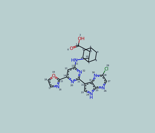 O=C(O)C1C2CCC(CC2)C1Nc1cc(-c2ncco2)nc(-c2c[nH]c3ncc(Cl)nc23)n1